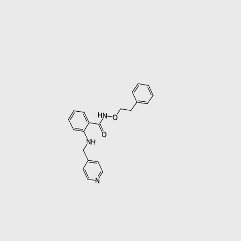 O=C(NOCCc1ccccc1)c1ccccc1NCc1ccncc1